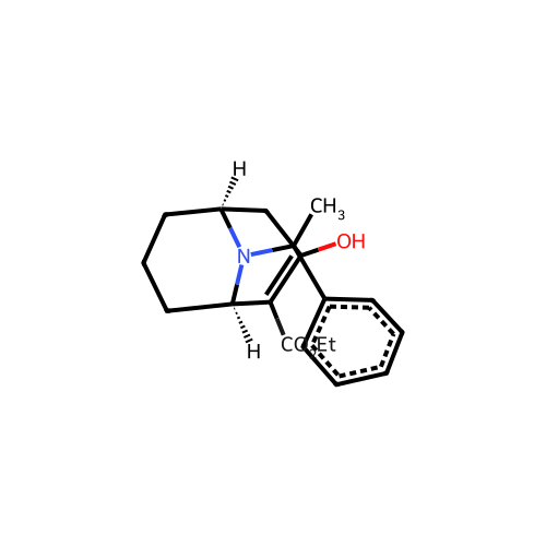 CCOC(=O)C1=C(O)C[C@@H]2CCC[C@H]1N2C(C)c1ccccc1